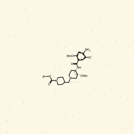 COc1cc(N)c(Cl)cc1C(=O)N[C@H]1CCN(CC2CCN(C(=O)OC(C)C)CC2)C[C@H]1OC